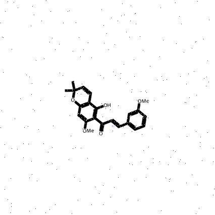 COc1cccc(/C=C/C(=O)c2c(OC)cc3c(c2O)C=CC(C)(C)O3)c1